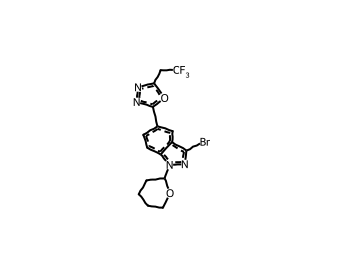 FC(F)(F)Cc1nnc(-c2ccc3c(c2)c(Br)nn3C2CCCCO2)o1